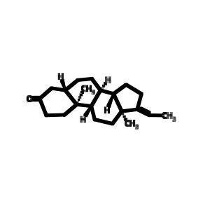 C/C=C1\CC[C@H]2[C@@H]3CC[C@H]4CC(=O)CC[C@]4(C)[C@H]3CC[C@]12C